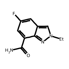 [CH2]Cn1cc2cc(F)cc(C(N)=O)c2n1